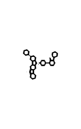 c1ccc(-c2ccc3c(c2)c2cc4oc5ccccc5c4cc2n3-c2ccc(-c3cccc4c3sc3ccccc34)cc2)cc1